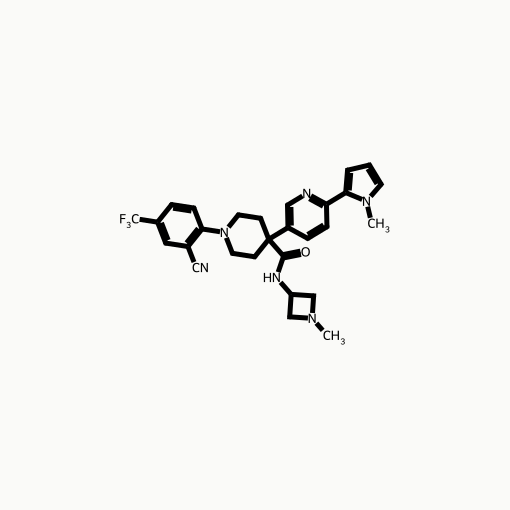 CN1CC(NC(=O)C2(c3ccc(-c4cccn4C)nc3)CCN(c3ccc(C(F)(F)F)cc3C#N)CC2)C1